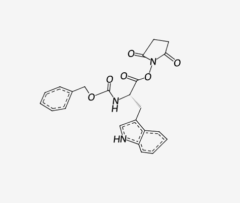 O=C(N[C@@H](Cc1c[nH]c2ccccc12)C(=O)ON1C(=O)CCC1=O)OCc1ccccc1